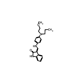 CCCN(CCOC)c1ccc(NC=C2C(=O)Nc3ccccc32)cc1